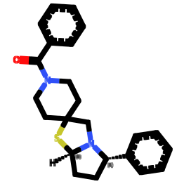 O=C(c1ccccc1)N1CCC2(CC1)CN1[C@@H](CC[C@H]1c1ccccc1)S2